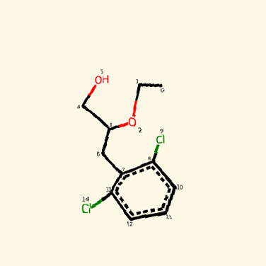 CCOC(CO)Cc1c(Cl)cccc1Cl